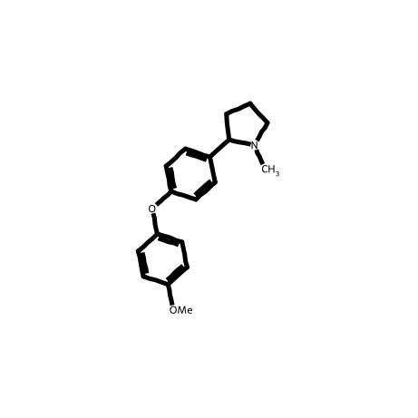 COc1ccc(Oc2ccc(C3CCCN3C)cc2)cc1